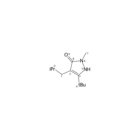 CC(C)Cc1c(C(C)(C)C)[nH]n(C)c1=O